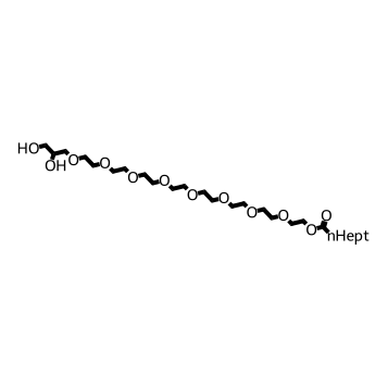 CCCCCCCC(=O)OCCOCCOCCOCCOCCOCCOCCOCCOCC(O)CO